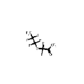 O=C(C(F)(F)F)C(F)(F)OC(F)(F)C(F)(F)C(F)(F)F